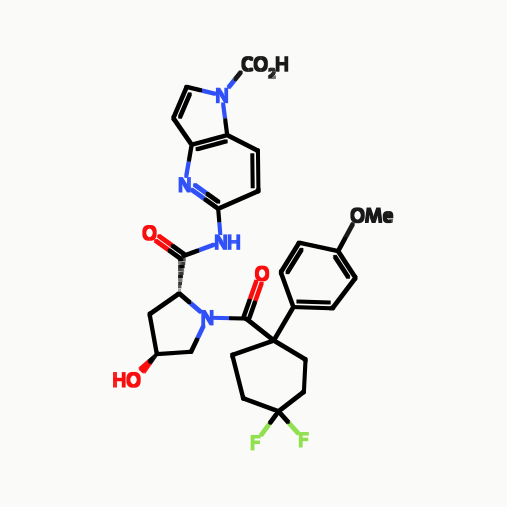 COc1ccc(C2(C(=O)N3C[C@@H](O)C[C@@H]3C(=O)Nc3ccc4c(ccn4C(=O)O)n3)CCC(F)(F)CC2)cc1